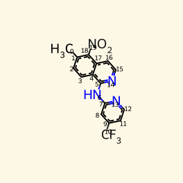 Cc1ccc2c(Nc3cc(C(F)(F)F)ccn3)nccc2c1[N+](=O)[O-]